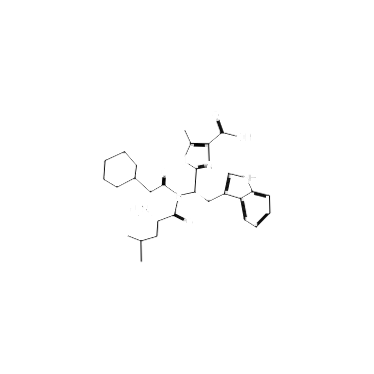 Cc1oc([C@@H](Cc2c[nH]c3ccccc23)N(C(=O)CC2CCCCC2)C(=O)[C@@H](N)CC(C)C)nc1C(=O)O